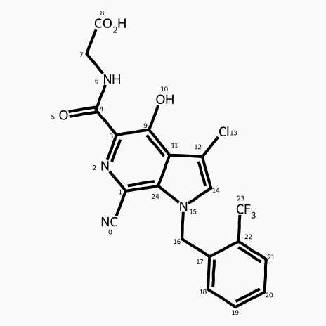 N#Cc1nc(C(=O)NCC(=O)O)c(O)c2c(Cl)cn(Cc3ccccc3C(F)(F)F)c12